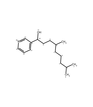 CC(C)CCCC(C)CCC(O)c1cccnc1